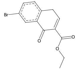 CCOC(=O)C1=CCc2ccc(Br)cc2C1=O